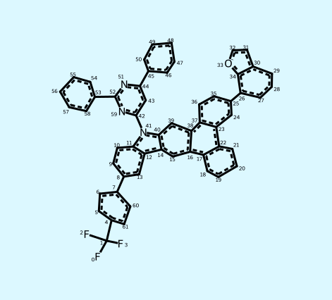 FC(F)(F)c1ccc(-c2ccc3c(c2)c2cc4c5ccccc5c5cc(-c6cccc7ccoc67)ccc5c4cc2n3-c2cc(-c3ccccc3)nc(-c3ccccc3)n2)cc1